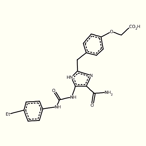 CCc1ccc(NC(=O)Nc2[nH]c(Cc3ccc(OCC(=O)O)cc3)nc2C(N)=O)cc1